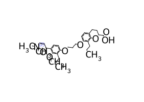 CCCc1c(OCCCOc2ccc(C(=O)/C=C\N(C)C)c(OC)c2CCC)ccc2c1OC(C(=O)O)CC2